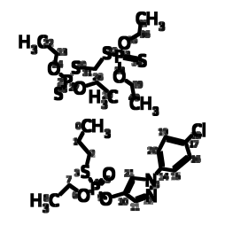 CCCSP(=O)(OCC)Oc1cnn(-c2ccc(Cl)cc2)c1.CCOP(=S)(OCC)SCSP(=S)(OCC)OCC